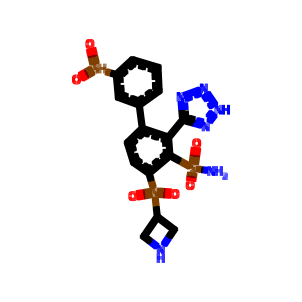 NS(=O)(=O)c1c(S(=O)(=O)C2CNC2)ccc(-c2cccc([SH](=O)=O)c2)c1-c1nn[nH]n1